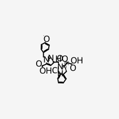 COc1ccc(Cn2nc(C(=O)N[C@H](Cc3ccccc3Cl)[C@@H](O)C(=O)O)cc2C(=O)O)cc1